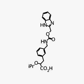 CC(C)OC(Cc1cccc(CNC(=O)OCc2nc3ccccc3[nH]2)c1)C(=O)O